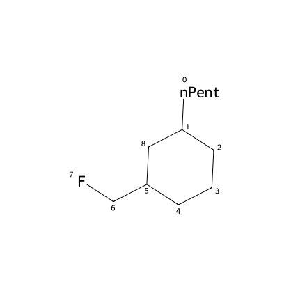 CCCCCC1CCCC(CF)C1